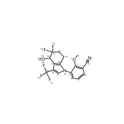 COc1c(C#N)cccc1-n1cc(C(F)(F)F)c2c1CCC(F)(F)C2O